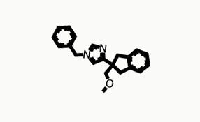 COCC1(c2cn(Cc3ccccc3)cn2)Cc2ccccc2C1